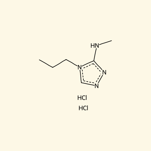 CCCn1cnnc1NC.Cl.Cl